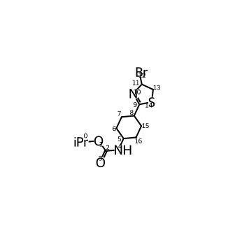 CC(C)OC(=O)NC1CCC(C2=NC(Br)CS2)CC1